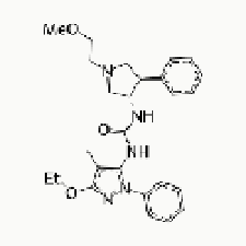 CCOc1nn(-c2ccccc2)c(NC(=O)N[C@@H]2CN(CCOC)C[C@H]2c2ccccc2)c1C